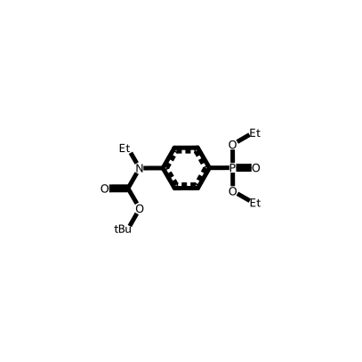 CCOP(=O)(OCC)c1ccc(N(CC)C(=O)OC(C)(C)C)cc1